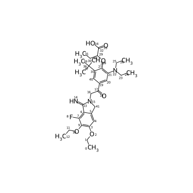 CCOc1cc2c(c(F)c1OCC)C(=N)N(CC(=O)c1cc(N(CC)CC)c(OC(CC)C(=O)O)c(C(C)(C)C)c1)C2